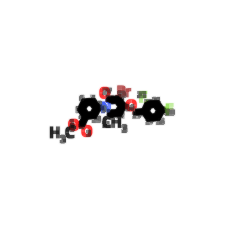 COC(=O)c1cccc(-n2c(C)cc(OCc3ccc(F)cc3F)c(Br)c2=O)c1